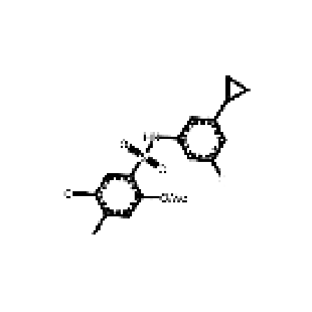 COc1cc(C)c(Cl)cc1S(=O)(=O)Nc1cc(Cl)cc(C2CC2)c1